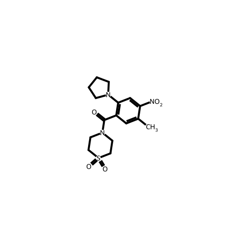 Cc1cc(C(=O)N2CCS(=O)(=O)CC2)c(N2CCCC2)cc1[N+](=O)[O-]